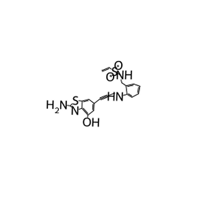 C=CS(=O)(=O)NCc1ccccc1NCC#Cc1cc(O)c2nc(N)sc2c1